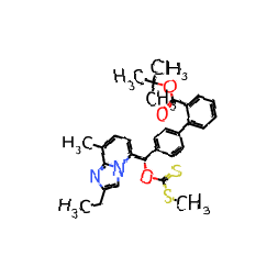 CCc1cn2c([C@H](OC(=S)SC)c3ccc(-c4ccccc4C(=O)OC(C)(C)C)cc3)ccc(C)c2n1